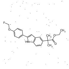 CCOC(=O)C(C)(C)c1ccc2[nH]c(-c3ccc(OCF)cc3)cc2c1